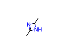 CC1=NC(C)N1